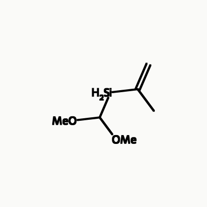 C=C(C)[SiH2]C(OC)OC